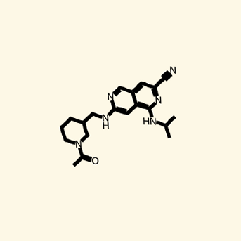 CC(=O)N1CCCC(CNc2cc3c(NC(C)C)nc(C#N)cc3cn2)C1